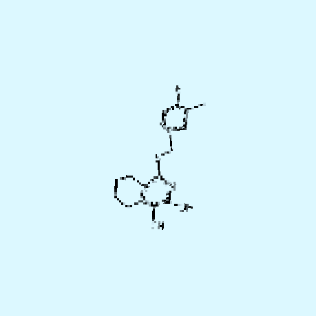 Cc1cc(CSc2nc(O)c(C#N)c3c2CCCC3)ccc1F